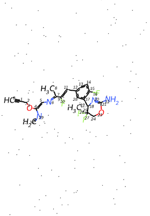 C#CCO/C(=C/N=C(C)/C(F)=C/c1ccc(F)c([C@@]2(C)N=C(N)OCC2(F)F)c1)N=C